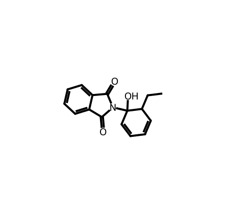 CCC1C=CC=CC1(O)N1C(=O)c2ccccc2C1=O